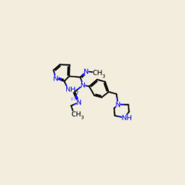 CC/N=C/N(C(=NC)c1cccnc1N)c1ccc(CN2CCNCC2)cc1